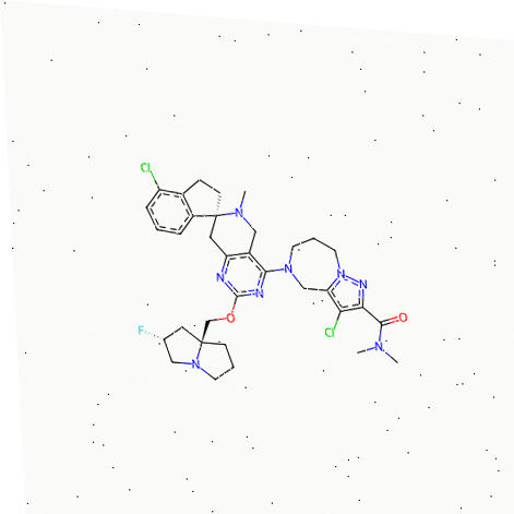 CN(C)C(=O)c1nn2c(c1Cl)CN(c1nc(OC[C@@]34CCCN3C[C@H](F)C4)nc3c1CN(C)[C@@]1(CCc4c(Cl)cccc41)C3)CCC2